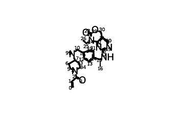 C=CC(=O)N1CCC(N(C)Cc2ccc([C@H](C)Nc3ncc4c(n3)N(CC)C(=O)OC4)cc2)CC1